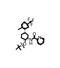 Cc1ccc(C(F)(F)F)cc1[C@H]1CC[C@H](O[Si](C)(C)C(C)(C)C)[C@@H](NC(=O)c2ccccn2)C1